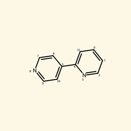 [c]1ccnc(-c2ccncc2)c1